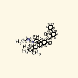 C=C(/C=N\C=C/CC)COc1cc(OCc2cccc(-c3ccccc3)c2Br)c(Cl)cc1CNCC(C(C)C)[C@@H](C)O